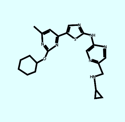 Cc1cc(-c2cnc(Nc3cnc(CNC4CC4)cn3)s2)nc(OC2CCCCC2)n1